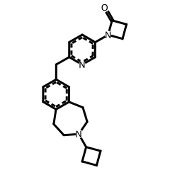 O=C1CCN1c1ccc(Cc2ccc3c(c2)CCN(C2CCC2)CC3)nc1